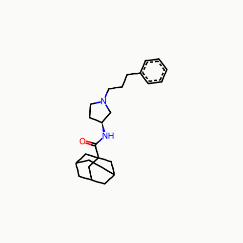 O=C(N[C@H]1CCN(CCCc2ccccc2)C1)C12CC3CC(CC(C3)C1)C2